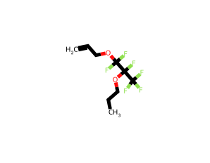 C=CCOC(F)(F)C(F)(OCCC)C(F)(F)F